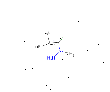 CCC/C(CC)=C(/F)N(C)N